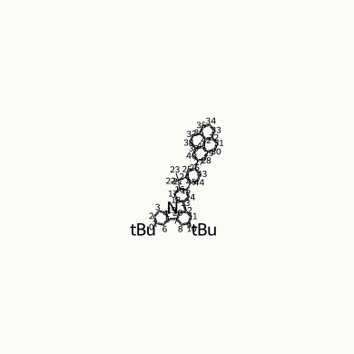 CC(C)(C)c1ccc2c(c1)c1cc(C(C)(C)C)cc3c4cc5c(cc4n2c13)C(C)(C)c1cc(-c2cc3ccc4cccc6ccc(c2)c3c46)ccc1-5